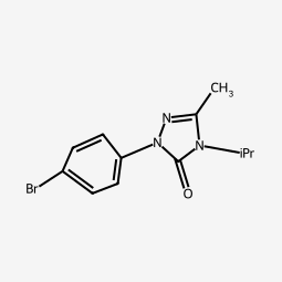 Cc1nn(-c2ccc(Br)cc2)c(=O)n1C(C)C